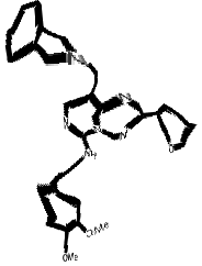 COc1ccc(CNc2ncc(CN3Cc4ccccc4C3)c3nc(-c4ccco4)nn23)cc1OC